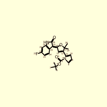 CC(C)(C)OC(=O)n1cccc1C1=CC(=C2C(=O)Nc3cc(F)ccc32)OC1(C)C